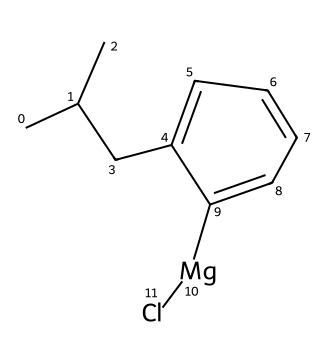 CC(C)Cc1cccc[c]1[Mg][Cl]